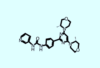 C[C@@H]1COCCN1c1cc(N2CCOC[C@H]2C)nc(-c2ccc(NC(=O)Nc3cccnc3)cc2)n1